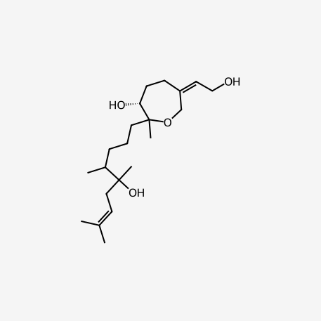 CC(C)=CCC(C)(O)C(C)CCCC1(C)OCC(=CCO)CC[C@H]1O